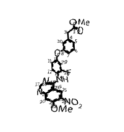 COC(=O)Cc1cccc(Oc2ccc(Nc3ncnc4cc(OC)c([N+](=O)[O-])cc34)c(F)c2)c1